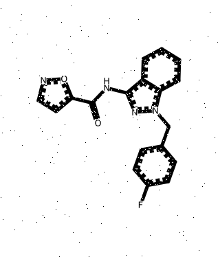 O=C(Nc1nn(Cc2ccc(F)cc2)c2ccccc12)c1ccno1